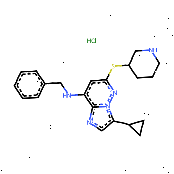 Cl.c1ccc(CNc2cc(SC3CCCNC3)nn3c(C4CC4)cnc23)cc1